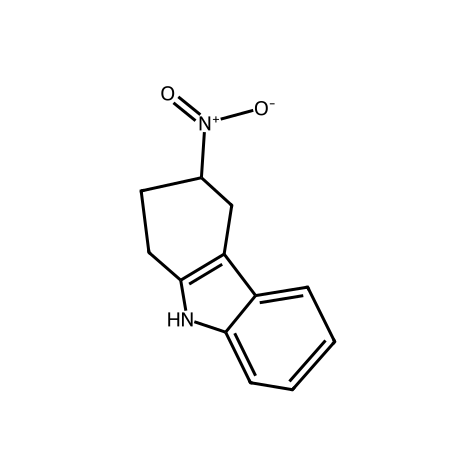 O=[N+]([O-])C1CCc2[nH]c3ccccc3c2C1